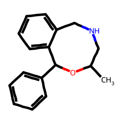 CC1CNCc2ccccc2C(c2ccccc2)O1